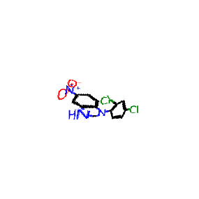 O=[N+]([O-])c1ccc2c(c1)NCN2c1ccc(Cl)cc1Cl